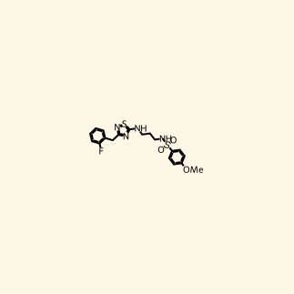 COc1ccc(S(=O)(=O)NCCCNc2nc(Cc3ccccc3F)ns2)cc1